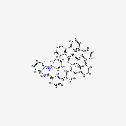 c1ccc(-c2cc(-c3cccc(-c4cccc(-c5nc6ccccc6n5-c5ccccc5)c4)c3)c(-c3ccccc3)c(-c3ccccc3)c2-c2ccccc2)cc1